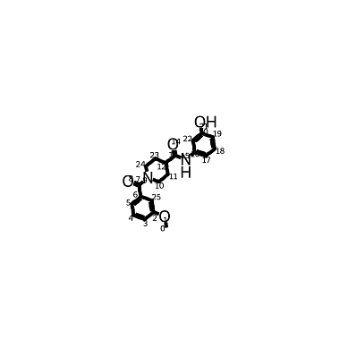 COc1cccc(C(=O)N2CCC(C(=O)Nc3cccc(O)c3)CC2)c1